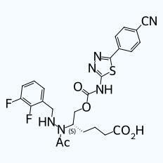 CC(=O)N(NCc1cccc(F)c1F)[C@@H](CCCC(=O)O)COC(=O)Nc1nnc(-c2ccc(C#N)cc2)s1